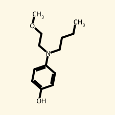 CCCCN(CCOC)c1ccc(O)cc1